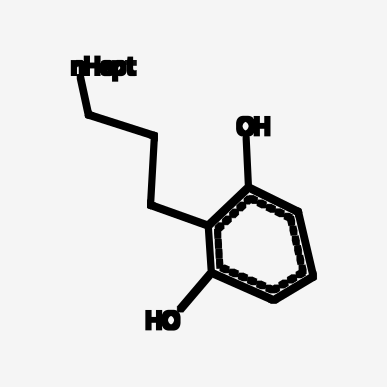 CCCCCCCCCCc1c(O)cccc1O